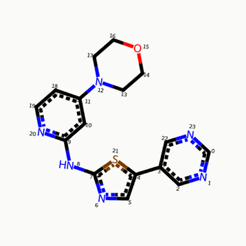 c1ncc(-c2cnc(Nc3cc(N4CCOCC4)ccn3)s2)cn1